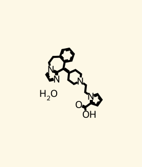 O.O=C(O)c1cccn1CCN1CCC(=C2c3ccccc3CCn3ccnc32)CC1